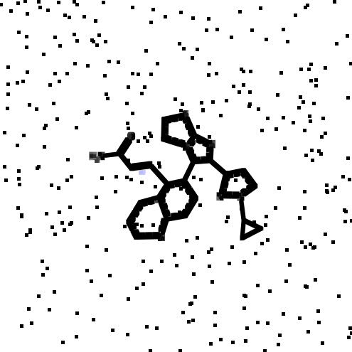 NC(=O)/C=C/c1c(-c2c(-c3ccn(C4CC4)n3)nc3sccn23)ccc2ncccc12